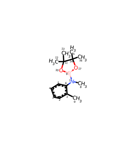 Cc1ccccc1N(C)B1OC(C)(C)C(C)(C)O1